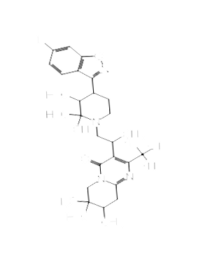 [2H]C([2H])([2H])c1nc2n(c(=O)c1C(C)CN1CCC(c3noc4cc(F)ccc34)C(C)C1(C)C)CC(C)(C)C(C)C2